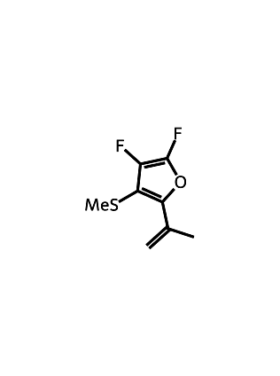 C=C(C)c1oc(F)c(F)c1SC